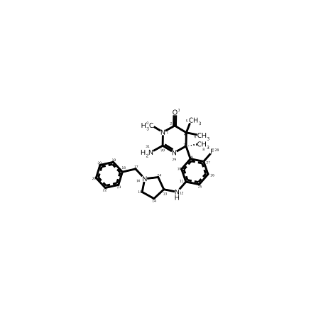 CN1C(=O)C(C)(C)[C@@](C)(c2cc(NC3CCN(Cc4ccccc4)C3)ccc2F)N=C1N